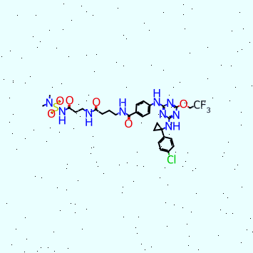 CN(C)S(=O)(=O)NC(=O)CCNC(=O)CCCNC(=O)c1ccc(Nc2nc(NC3(c4ccc(Cl)cc4)CC3)nc(OCC(F)(F)F)n2)cc1